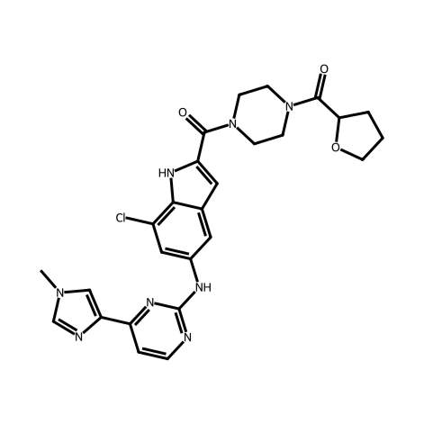 Cn1cnc(-c2ccnc(Nc3cc(Cl)c4[nH]c(C(=O)N5CCN(C(=O)C6CCCO6)CC5)cc4c3)n2)c1